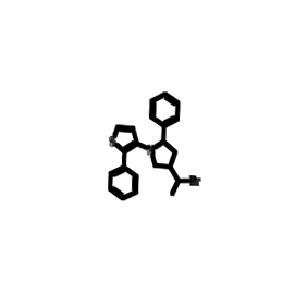 CC(Br)C1CC(c2ccccc2)N(c2ccsc2-c2ccccc2)C1